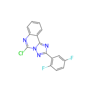 Fc1ccc(F)c(-c2nc3c4ccccc4nc(Cl)n3n2)c1